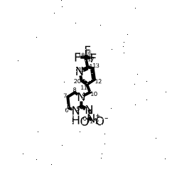 O=[N+]([O-])N=C1NCCCN1Cc1ccc(C(F)(F)F)nc1